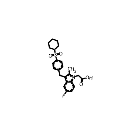 Cc1c(Cc2ccc(S(=O)(=O)C3CCCCC3)cc2)c2cc(F)ccc2n1CC(=O)O